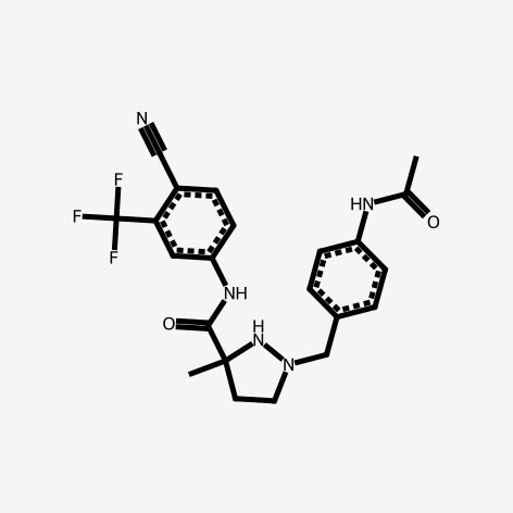 CC(=O)Nc1ccc(CN2CCC(C)(C(=O)Nc3ccc(C#N)c(C(F)(F)F)c3)N2)cc1